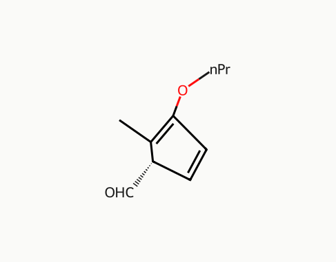 CCCOC1=C(C)[C@@H](C=O)C=C1